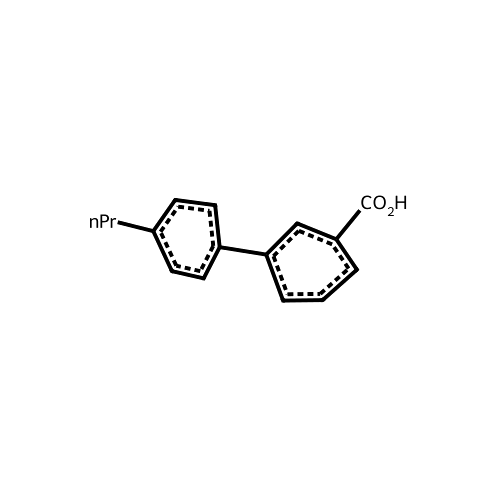 CCCc1ccc(-c2cccc(C(=O)O)c2)cc1